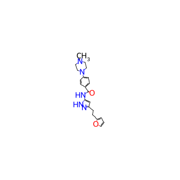 CN1CCN(c2ccc(C(=O)Nc3cc(CCc4ccco4)n[nH]3)cc2)CC1